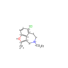 CCOC(=O)N1CCc2c(Cl)ccc3oc(C(F)(F)F)c(c23)C1